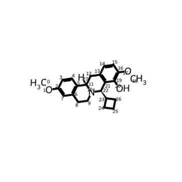 COc1ccc2c(c1)CCN1[C@H]2Cc2ccc(OC)c(O)c2[C@H]1C1CCC1